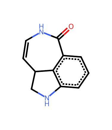 O=C1NC=CC2CNc3cccc1c32